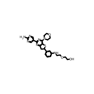 Nc1ncc(-c2nc3c(c(N4CCOCC4)n2)SC(c2cccc(NCCOCCO)c2)C3)cn1